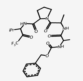 CC(NC(=O)OCc1ccccc1)C(=O)NC(C)C(=O)N1CCCC1C(=O)NC(C(=O)C(F)(F)F)C(C)C